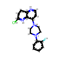 Fc1ccccc1N1CCN(c2ccnc3ccc(Cl)nc23)CC1